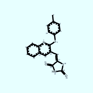 Cc1ccc(Sc2nc3ccccc3cc2C=C2SC(=O)NC2=O)cc1